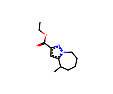 CCOC(=O)c1cc2n(n1)CCCCC2C